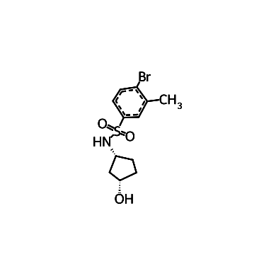 Cc1cc(S(=O)(=O)N[C@@H]2CC[C@H](O)C2)ccc1Br